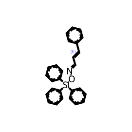 C(/C=C/c1ccccc1)=NO[Si](c1ccccc1)(c1ccccc1)c1ccccc1